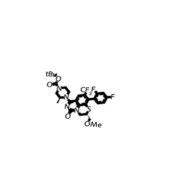 COC[C@@H]1Cn2c(=O)nc(N3CCN(C(=O)OC(C)(C)C)C[C@@H]3C)c3cc(C(F)(F)F)c(-c4ccc(F)cc4F)c(c32)S1